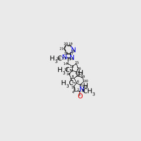 CN1C(=O)C=C[C@]2(C)C3CC[C@]4(C)[C@@H](Cc5nc6ncccc6n5C)CC[C@H]4C3CC[C@@H]12